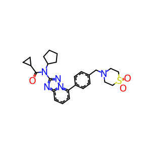 O=C(C1CC1)N(c1nc2cccc(-c3ccc(CN4CCS(=O)(=O)CC4)cc3)n2n1)C1CCCC1